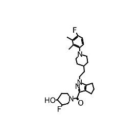 Cc1c(F)ccc(N2CCC(CCn3nc(C(=O)N4CCC(O)C(F)C4)c4c3CCC4)CC2)c1C